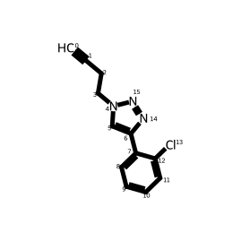 C#CCCn1cc(-c2ccccc2Cl)nn1